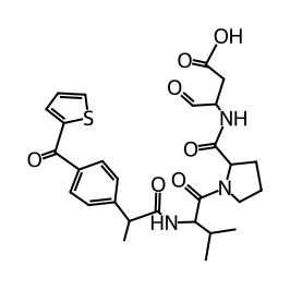 CC(C(=O)NC(C(=O)N1CCCC1C(=O)NC(C=O)CC(=O)O)C(C)C)c1ccc(C(=O)c2cccs2)cc1